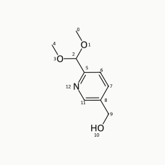 COC(OC)c1ccc(CO)cn1